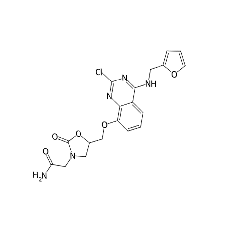 NC(=O)CN1CC(COc2cccc3c(NCc4ccco4)nc(Cl)nc23)OC1=O